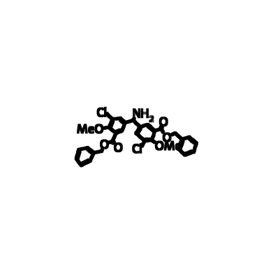 COc1c(Cl)cc(C(N)c2cc(Cl)c(OC)c(C(=O)OCc3ccccc3)c2)cc1C(=O)OCc1ccccc1